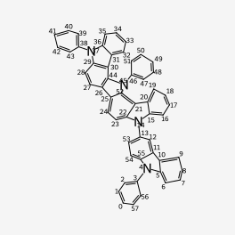 c1ccc(-n2c3ccccc3c3cc(-n4c5ccccc5c5c4ccc4c6ccc7c(c8ccccc8n7-c7ccccc7)c6n(-c6ccccc6)c45)ccc32)cc1